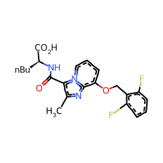 CCCC[C@H](NC(=O)c1c(C)nc2c(OCc3c(F)cccc3F)cccn12)C(=O)O